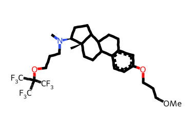 COCCCOc1ccc2c(c1)CCC1C2CC[C@@]2(C)C1CC[C@@H]2N(C)CCCOC(C(F)(F)F)(C(F)(F)F)C(F)(F)F